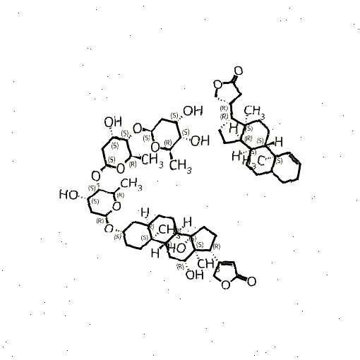 C[C@H]1O[C@@H](O[C@H]2[C@@H](O)C[C@H](O[C@H]3[C@@H](O)C[C@H](O[C@H]4CC[C@@]5(C)[C@H](CC[C@@H]6[C@@H]5C[C@@H](O)[C@]5(C)[C@@H](C7=CC(=O)OC7)CC[C@]65O)C4)O[C@@H]3C)O[C@@H]2C)C[C@H](O)[C@@H]1O.C[C@]12CC[C@H]3[C@@H](CCC4CCC=C[C@@]43C)[C@H]1CC[C@@H]2[C@@H]1COC(=O)C1